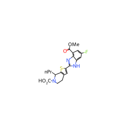 CCCC1c2sc(-c3nc4c(C(=O)OC)cc(F)cc4[nH]3)cc2CCN1C(=O)O